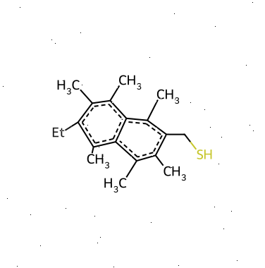 CCc1c(C)c(C)c2c(C)c(CS)c(C)c(C)c2c1C